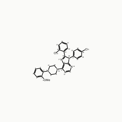 COc1ccccc1N1CCN(c2ncnc3c2nc(-c2ccccc2Cl)n3-c2ccc(Cl)cc2)CC1